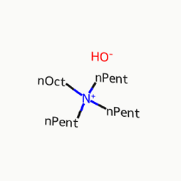 CCCCCCCC[N+](CCCCC)(CCCCC)CCCCC.[OH-]